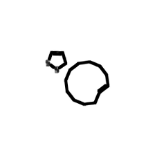 C1=C/CCCCCCCCCC/1.C1=CSSC1